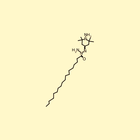 CCCCCCCCCCCCCCCCCC(=O)N(N)N=C1CC(C)(C)N(N)C(C)(C)C1